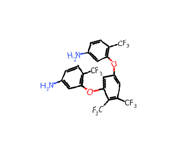 Nc1ccc(C(F)(F)F)c(Oc2cc(Oc3cc(N)ccc3C(F)(F)F)c(C(F)(F)F)c(C(F)(F)F)c2)c1